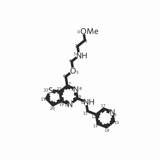 COCCNCOCc1nc(NCc2cccnc2)nc2ccsc12